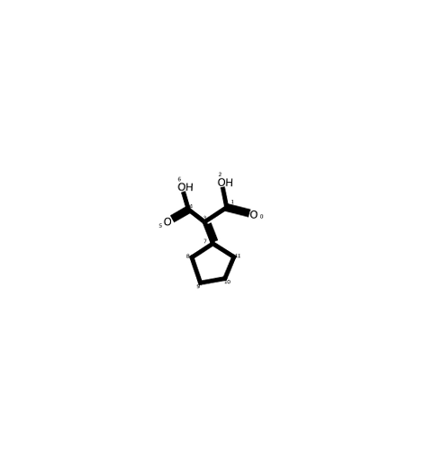 O=C(O)C(C(=O)O)=C1CCCC1